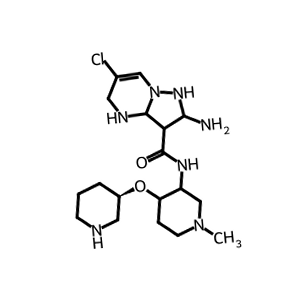 CN1CCC(O[C@@H]2CCCNC2)C(NC(=O)C2C(N)NN3C=C(Cl)CNC23)C1